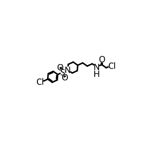 O=C(CCl)NCCCC1CCN(S(=O)(=O)c2ccc(Cl)cc2)CC1